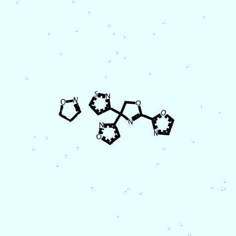 C1=NOCC1.c1coc(C2=NC(c3ccon3)(c3ccsn3)CO2)n1